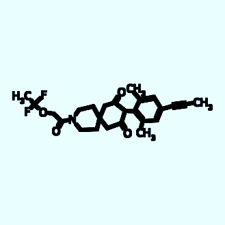 CC#Cc1cc(C)c(C2C(=O)CC3(CCN(C(=O)COC(C)(F)F)CC3)CC2=O)c(C)c1